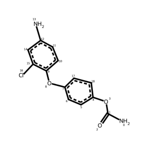 NC(=O)Oc1ccc(Oc2ccc(N)cc2Cl)cc1